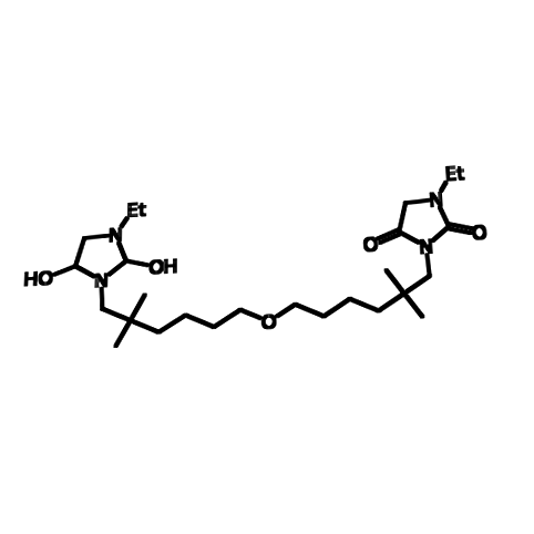 CCN1CC(=O)N(CC(C)(C)CCCCOCCCCC(C)(C)CN2C(O)CN(CC)C2O)C1=O